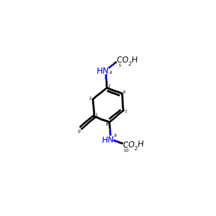 C=C1CC(NC(=O)O)=CC=C1NC(=O)O